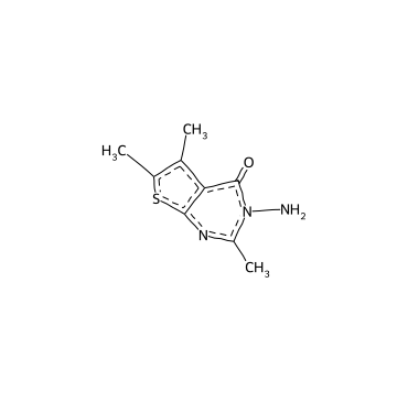 Cc1sc2nc(C)n(N)c(=O)c2c1C